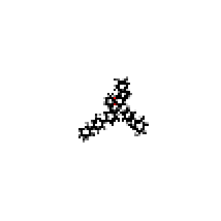 c1ccc(-c2ccc(-c3ccc(N(c4ccc5c(c4)oc4ccccc45)c4ccc5c(c4)sc4ccccc45)c(-c4ccccc4)c3)cc2)cc1